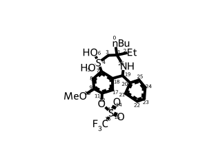 CCCCC1(CC)CS(O)(O)c2cc(OC)c(OS(=O)(=O)C(F)(F)F)cc2C(c2ccccc2)N1